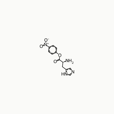 N[C@@H](Cc1cnc[nH]1)C(=O)Oc1ccc([N+](=O)[O-])cc1